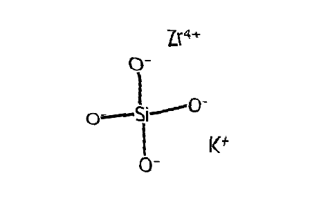 [K+].[O-][Si]([O-])([O-])[O-].[Zr+4]